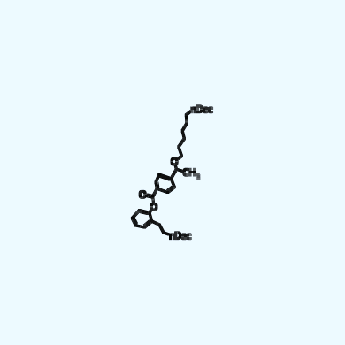 CCCCCCCCCCCCCCCCOC(C)c1ccc(C(=O)Oc2ccccc2CCCCCCCCCCCC)cc1